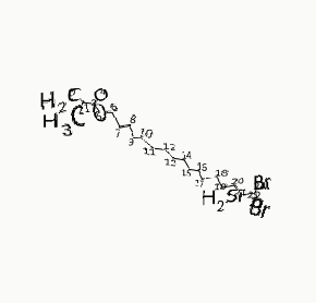 C=C(C)C(=O)OCCCCCCCCCCCCCCC[SiH2]C(Br)Br